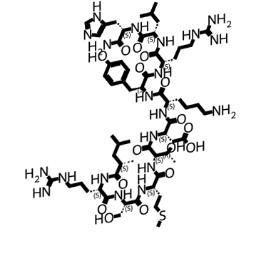 CSCC[C@H](NC(=O)[C@H](CO)NC(=O)[C@H](CCCNC(=N)N)NC(=O)[C@@H](C)CC(C)C)C(=O)N[C@H](C(=O)N[C@@H](CC(=O)O)C(=O)N[C@@H](CCCCN)C(=O)N[C@@H](Cc1ccc(O)cc1)C(=O)N[C@@H](CCCNC(=N)N)C(=O)N[C@@H](CC(C)C)C(=O)N[C@@H](Cc1cnc[nH]1)C(N)=O)[C@@H](C)O